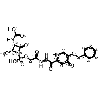 C[C@H]1[C@H](NC(=O)O)C(=O)N1P(=O)(O)OCC(=O)NNC(=O)c1cc(=O)c(OCc2ccccc2)c[nH]1